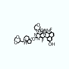 C#Cc1c(F)ccc2cc(O)cc(-c3nc(OC)c4c(N5CCCOCC5)nc(OC[C@]56CCC[C@H]5N(CC5COCCOC5)CCC6)nc4c3F)c12